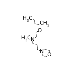 CCCC(C)OCCN(C)CCCN1CCOCC1